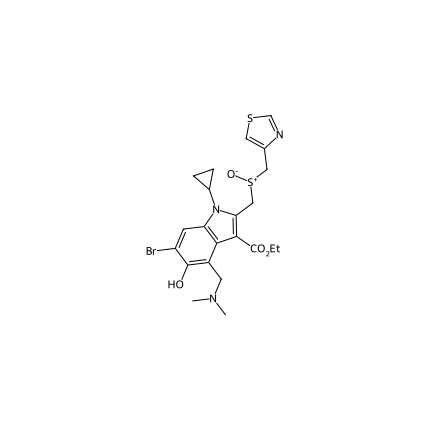 CCOC(=O)c1c(C[S+]([O-])Cc2cscn2)n(C2CC2)c2cc(Br)c(O)c(CN(C)C)c12